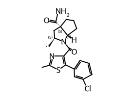 [CH2][C@H]1C[C@@]2(C(N)=O)CCC[C@@H]2N1C(=O)c1nc(C)sc1-c1cccc(Cl)c1